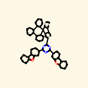 c1ccc2c(c1)-c1ccccc1C1(c3ccccc3-2)c2ccccc2-c2ccc(-c3nc(-c4ccc5c(c4)oc4ccccc45)nc(-c4ccc5c(c4)oc4ccccc45)n3)cc21